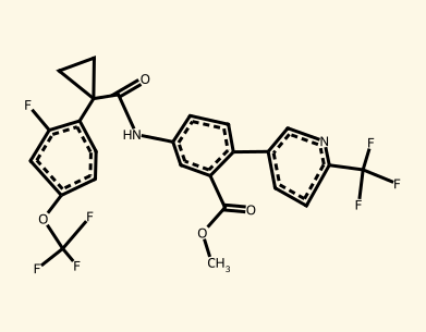 COC(=O)c1cc(NC(=O)C2(c3ccc(OC(F)(F)F)cc3F)CC2)ccc1-c1ccc(C(F)(F)F)nc1